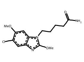 COc1cc2c(cc1Cl)nc(OC)n2CCCCC(N)=O